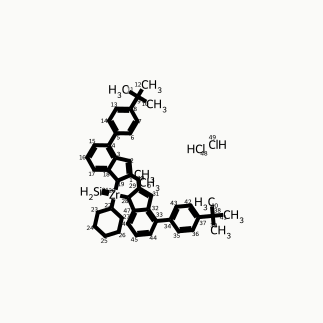 CC1=Cc2c(-c3ccc(C(C)(C)C)cc3)cccc2[CH]1[Zr](=[SiH2])([CH]1CCCCC1)[CH]1C(C)=Cc2c(-c3ccc(C(C)(C)C)cc3)cccc21.Cl.Cl